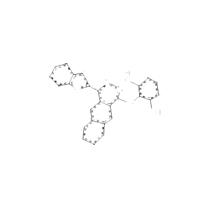 Cc1cccc(C)c1Oc1nnc(-c2cc3ccccc3o2)c2cc3ccccc3cc12